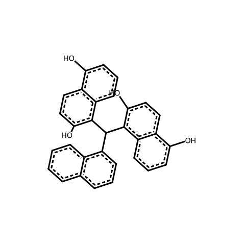 Oc1ccc2c(O)cccc2c1C(c1cccc2ccccc12)c1c(O)ccc2c(O)cccc12